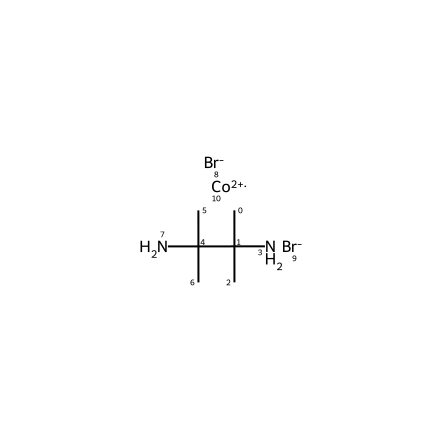 CC(C)(N)C(C)(C)N.[Br-].[Br-].[Co+2]